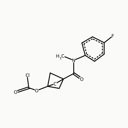 CN(C(=O)C12CC(OC(=O)Cl)(C1)C2)c1ccc(F)cc1